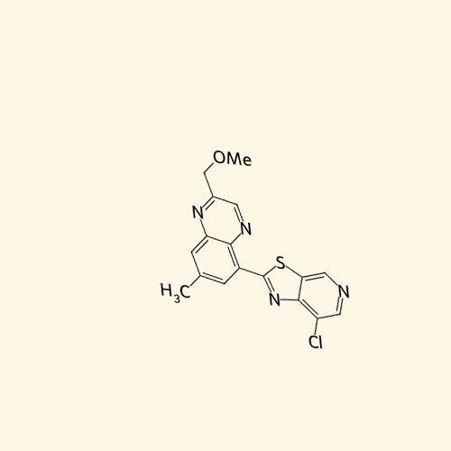 COCc1cnc2c(-c3nc4c(Cl)cncc4s3)cc(C)cc2n1